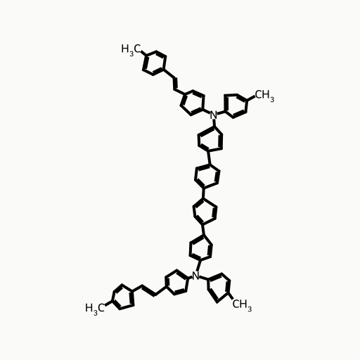 Cc1ccc(/C=C/c2ccc(N(c3ccc(C)cc3)c3ccc(-c4ccc(-c5ccc(-c6ccc(N(c7ccc(C)cc7)c7ccc(/C=C/c8ccc(C)cc8)cc7)cc6)cc5)cc4)cc3)cc2)cc1